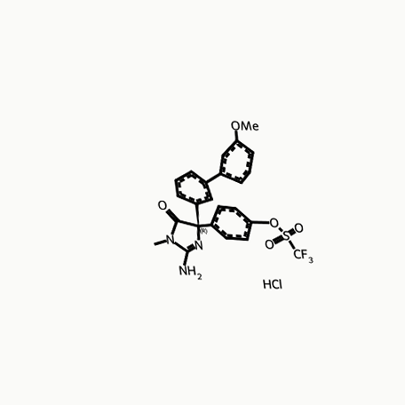 COc1cccc(-c2cccc([C@@]3(c4ccc(OS(=O)(=O)C(F)(F)F)cc4)N=C(N)N(C)C3=O)c2)c1.Cl